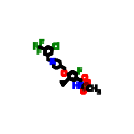 CS(=O)(=O)NC(=O)c1cc(C2CC2)c(OCC2CCN(Cc3cc(Cl)cc(C(F)(F)F)c3)CC2)cc1F